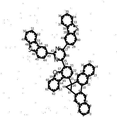 c1ccc2cc3c(cc2c1)-c1cc2ccccc2cc1C1(c2ccc(-c4cc(-c5ccc6sc7ccccc7c6c5)nc(-c5ccc6sc7ccccc7c6c5)n4)c4oc5ccccc5c24)CC31